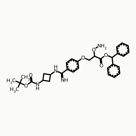 CC(C)(C)OC(=O)NC1CC(NC(=N)c2ccc(OCC(ON)C(=O)OC(c3ccccc3)c3ccccc3)cc2)C1